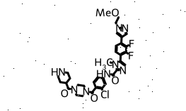 COCCn1cc(-c2ccc(-c3cnc(C(=O)Nc4ccc(C(=O)N5CCN(C(=O)C6CCNCC6)CC5)c(Cl)c4)n3C)c(F)c2F)cn1